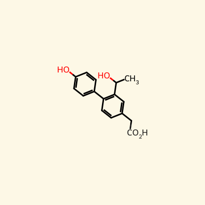 CC(O)c1cc(CC(=O)O)ccc1-c1ccc(O)cc1